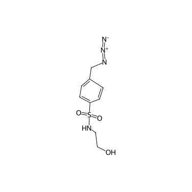 [N-]=[N+]=NCc1ccc(S(=O)(=O)NCCO)cc1